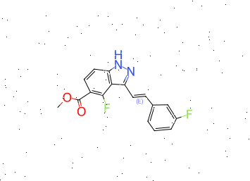 COC(=O)c1ccc2[nH]nc(/C=C/c3cccc(F)c3)c2c1F